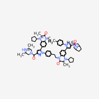 Cc1ccc(-n2nc(C(=O)N3C4CCC3CN(C)C4)cc2-c2ccc3c(c2)N(C2CCCC2)[C@H](C)C(=O)N3CCc2ccc(-n3nc(C(=O)N4C[C@@H](C)N[C@@H](C)C4)cc3-c3ccc4c(c3)N(C3CCCC3)[C@H](C)C(=O)N4C)cc2)cc1